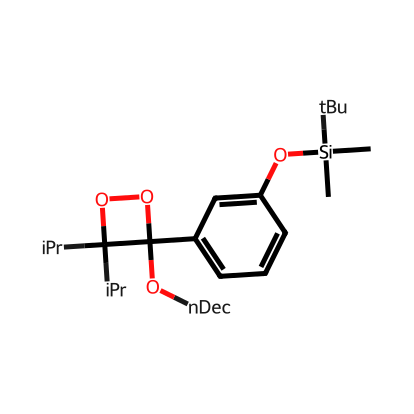 CCCCCCCCCCOC1(c2cccc(O[Si](C)(C)C(C)(C)C)c2)OOC1(C(C)C)C(C)C